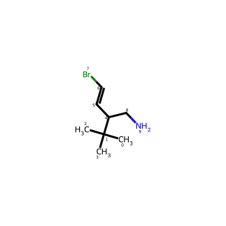 CC(C)(C)C(/C=C/Br)CN